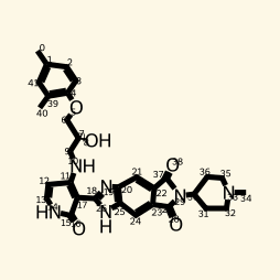 Cc1ccc(OC[C@H](O)CNc2cc[nH]c(=O)c2-c2nc3cc4c(cc3[nH]2)C(=O)N(C2CCN(C)CC2)C4=O)c(C)c1